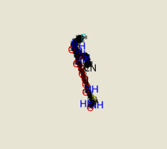 N#Cc1ccc(CN2CCC(NC(=O)c3ncc(C(=O)N4CCN(Cc5ccc(F)cc5)CC4)cc3CCCNC(=O)CCOCCOCCOCCOCCNC(=O)CCCC[C@@H]3SCC4NC(=O)NC43)CC2)cc1